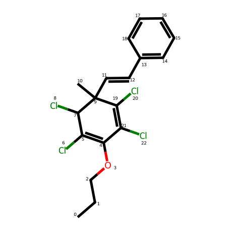 CCCOC1=C(Cl)C(Cl)C(C)(C=Cc2ccccc2)C(Cl)=C1Cl